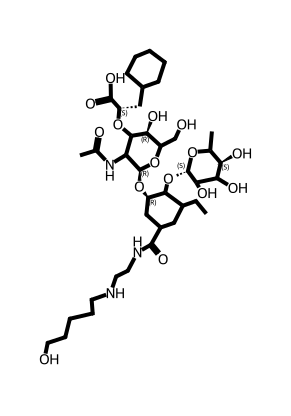 CCC1CC(C(=O)NCCNCCCCCO)C[C@@H](O[C@@H]2OC(CO)[C@H](O)C(O[C@@H](CC3CCCCC3)C(=O)O)C2NC(C)=O)C1O[C@@H]1OC(C)[C@@H](O)C(O)C1O